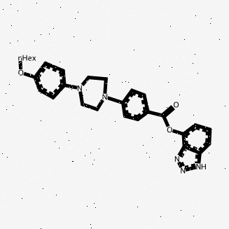 CCCCCCOc1ccc(N2CCN(c3ccc(C(=O)Oc4cccc5[nH]nnc45)cc3)CC2)cc1